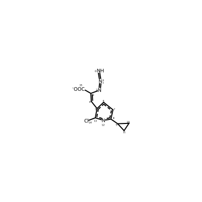 N=[N+]=NC(=Cc1ccc(C2CC2)nc1Cl)C(=O)[O-]